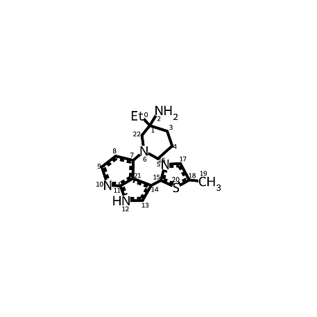 CCC1(N)CCCN(c2ccnc3[nH]cc(-c4ncc(C)s4)c23)C1